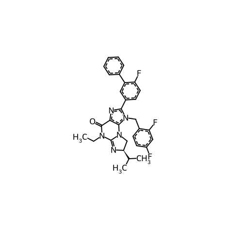 CCN1C(=O)c2nc(-c3ccc(F)c(-c4ccccc4)c3)n(Cc3ccc(F)cc3F)c2N2C[C@@H](C(C)C)N=C12